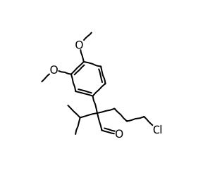 COc1ccc(C(C=O)(CCCCl)C(C)C)cc1OC